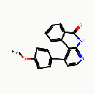 COc1ccc(-c2ccnc3[nH]c(=O)c4ccccc4c23)cc1